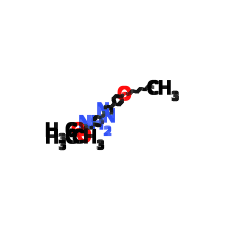 CCCCCCCOc1ccc(-c2cnc(-c3ccc(CC(N)C(=O)OC(C)(C)C)cc3)nc2)cc1